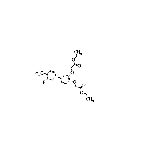 CCOC(=O)COc1ccc(-c2ccc(C)c(F)c2)cc1OCC(=O)OCC